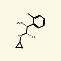 CO[C@H](c1ccccc1Cl)[C@H](O)NC1CC1